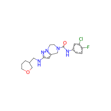 O=C(Nc1ccc(F)c(Cl)c1)N1CCn2nc(NCC3CCCOC3)cc2C1